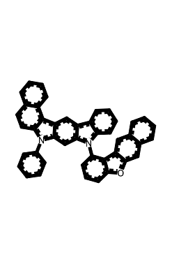 c1ccc(-n2c3cc4c(cc3c3c5ccccc5ccc32)c2ccccc2n4-c2cccc3oc4cc5ccccc5cc4c23)cc1